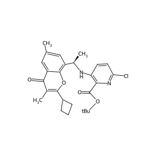 Cc1cc([C@@H](C)Nc2ccc(Cl)nc2C(=O)OC(C)(C)C)c2oc(C3CCC3)c(C)c(=O)c2c1